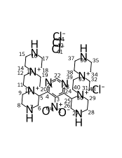 O=[N+]([O-])c1c(C2CNCC[N+]23CC[N+]2(CCNCC2)CC3)ncnc1C1CNCC[N+]12CC[N+]1(CCNCC1)CC2.[Cl-].[Cl-].[Cl-].[Cl-]